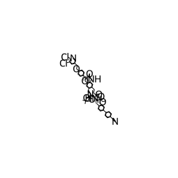 COC(=O)[C@H](Cc1ccc(-c2ccc(C#N)cc2)cc1)NC(=O)C1Cc2cc3c(cc2CN1C(=O)OC(C)(C)C)O[C@@H](c1ccc(OCc2cnc(Cl)c(Cl)c2)cc1)C(=O)N3